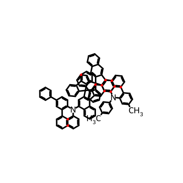 Cc1ccc(N(c2cc(C)ccc2Cc2ccc3cc4c(cc3c2)-c2c(cc(N(c3ccccc3)c3ccc(-c5ccccc5)cc3-c3ccccc3)c3ccccc23)C42c3ccccc3-c3ccccc32)c2cc3c(c4ccccc24)-c2cc4ccccc4cc2C32c3ccccc3-c3ccccc32)cc1